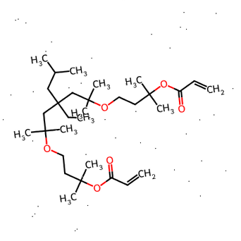 C=CC(=O)OC(C)(C)CCOC(C)(C)CC(CC)(CC(C)C)CC(C)(C)OCCC(C)(C)OC(=O)C=C